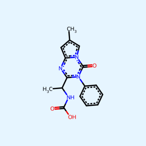 Cc1cc2nc(C(C)NC(=O)O)n(-c3ccccc3)c(=O)n2c1